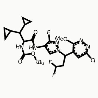 COc1nnc(Cl)cc1C(CC(F)F)n1cc(NC(=O)C(NC(=O)OC(C)(C)C)C(C2CC2)C2CC2)c(F)n1